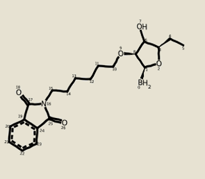 B[C@@H]1O[C@H](CC)C(O)[C@@H]1OCCCCCCN1C(=O)c2ccccc2C1=O